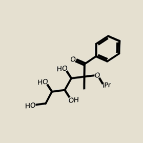 CC(C)OC(C)(C(=O)c1ccccc1)C(O)C(O)C(O)CO